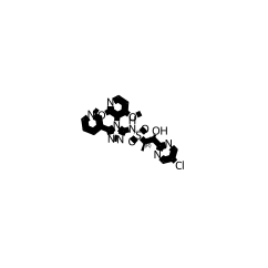 COc1ccnc(OC)c1-n1c(NS(=O)(=O)[C@H](C)[C@@H](O)c2ncc(Cl)cn2)nnc1-c1cccnc1